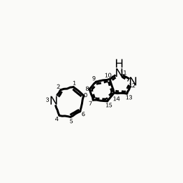 C1=CC=NCC=C1.c1ccc2[nH]ncc2c1